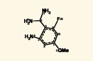 COc1cc(N)c(C(N)N)c(F)c1